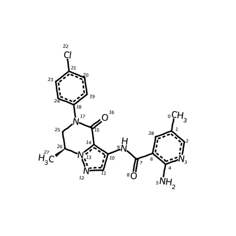 Cc1cnc(N)c(C(=O)Nc2cnn3c2C(=O)N(c2ccc(Cl)cc2)C[C@@H]3C)c1